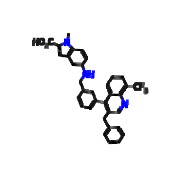 Cn1c(C(=O)O)cc2cc(NCc3cccc(-c4c(Cc5ccccc5)cnc5c(C(F)(F)F)cccc45)c3)ccc21